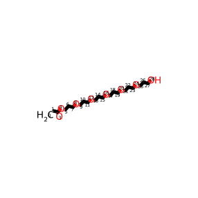 C=CC(=O)OCCCOCCCOCCCOCCCOCCCOCCCO